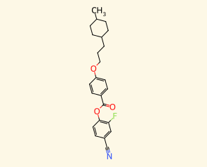 CC1CCC(CCCOc2ccc(C(=O)Oc3ccc(C#N)cc3F)cc2)CC1